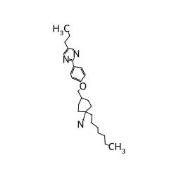 CCCCCCCC1(C#N)CCC(COc2ccc(-c3ncc(CCC)cn3)cc2)CC1